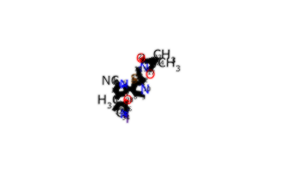 Cc1cc(C#N)nc(-c2ccnc3cc(CN4C(=O)C5C(C4=O)C5(C)C)sc23)c1OC1CCCN(I)C1